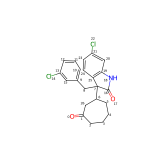 O=C1CCCCC(C2(Cc3cccc(Cl)c3)C(=O)Nc3cc(Cl)ccc32)C1